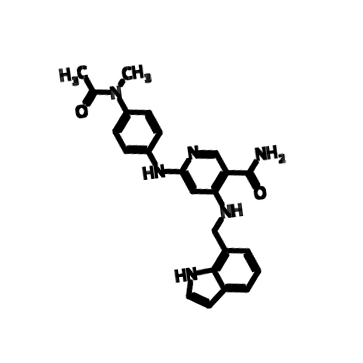 CC(=O)N(C)c1ccc(Nc2cc(NCc3cccc4cc[nH]c34)c(C(N)=O)cn2)cc1